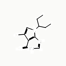 CCC(CC)n1cc(F)c2c(=O)[nH]cnc21